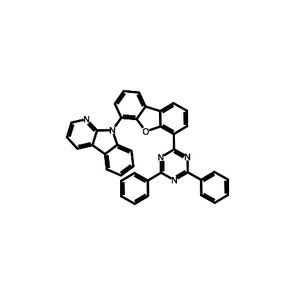 c1ccc(-c2nc(-c3ccccc3)nc(-c3cccc4c3oc3c(-n5c6ccccc6c6cccnc65)cccc34)n2)cc1